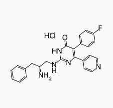 Cl.N[C@H](CNc1nc(-c2ccncc2)c(-c2ccc(F)cc2)c(=O)[nH]1)Cc1ccccc1